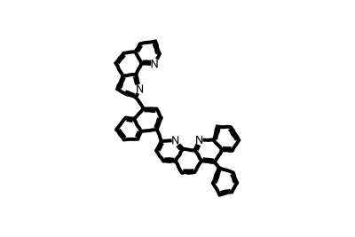 c1ccc(-c2c3ccccc3nc3c2ccc2ccc(-c4ccc(-c5ccc6ccc7cccnc7c6n5)c5ccccc45)nc23)cc1